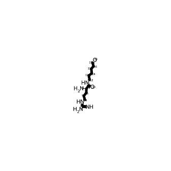 N=C(N)NCCC[C@H](N)C(=O)NCCCCC[C]=O